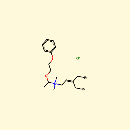 CC(C)CC(=CC[N+](C)(C)C(C)OCCOc1ccccc1)CC(C)C.[Cl-]